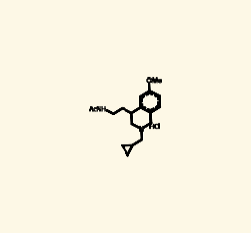 COc1ccc2c(c1)C(CCNC(C)=O)CN(CC1CC1)C2.Cl